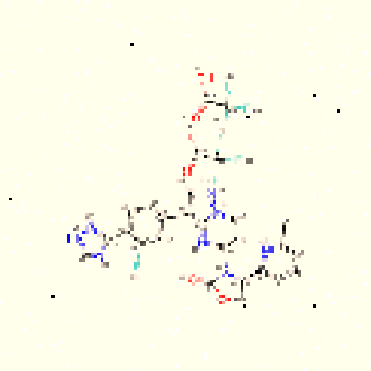 Cc1cccc([C@H]2COC(=O)N2c2ccn3ncc(-c4ccc(-c5nc[nH]n5)c(F)c4)c3n2)n1.O=C(O)C(F)(F)F.O=C(O)C(F)(F)F